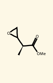 COC(=O)[C@@H](C)C1CO1